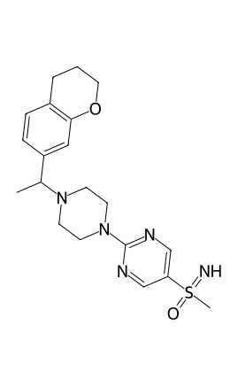 CC(c1ccc2c(c1)OCCC2)N1CCN(c2ncc(S(C)(=N)=O)cn2)CC1